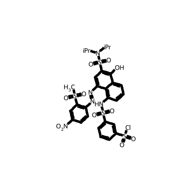 CC(C)N(C(C)C)S(=O)(=O)c1cc(N=Nc2ccc([N+](=O)[O-])cc2S(C)(=O)=O)c2c(NS(=O)(=O)c3cccc(S(=O)(=O)Cl)c3)cccc2c1O